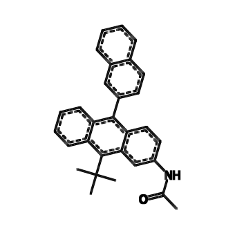 CC(=O)Nc1ccc2c(-c3ccc4ccccc4c3)c3ccccc3c(C(C)(C)C)c2c1